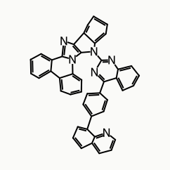 c1cnc2c(-c3ccc(-c4nc(-n5c6ccccc6c6nc7c8ccccc8c8ccccc8n7c65)nc5ccccc45)cc3)cccc2c1